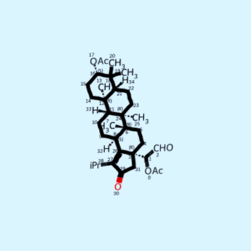 CC(=O)OC(C=O)[C@@]12CC[C@]3(C)[C@H](CC[C@@H]4[C@@]5(C)CC[C@H](OC(C)=O)C(C)(C)[C@@H]5CC[C@]43C)C1=C(C(C)C)C(=O)C2